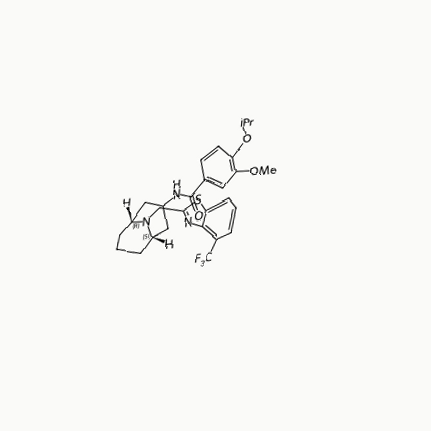 COc1cc(C(=O)NC2C[C@H]3CCC[C@@H](C2)N3Cc2nc3c(C(F)(F)F)cccc3s2)ccc1OC(C)C